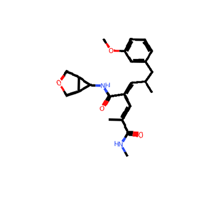 CNC(=O)/C(C)=C/C(=C\C(C)Cc1cccc(OC)c1)C(=O)NC1C2COCC21